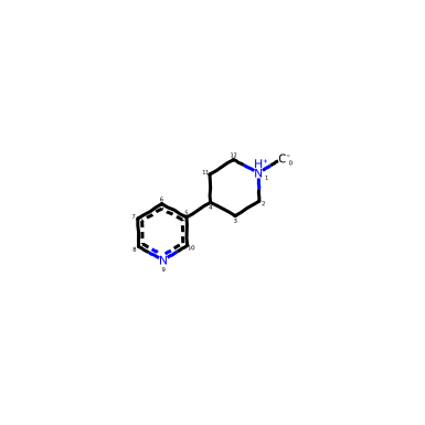 [CH2-][NH+]1CCC(c2cccnc2)CC1